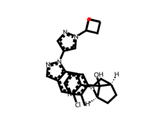 Cc1ncccc1C1(O)[C@@H]2CC[C@H]1N(c1cc3c(cnn3-c3cnn(C45CC(C4)C5)c3)cc1Cl)C2